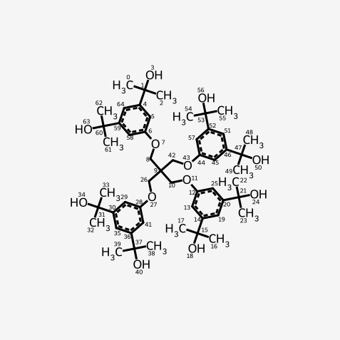 CC(C)(O)c1cc(OCC(COc2cc(C(C)(C)O)cc(C(C)(C)O)c2)(COc2cc(C(C)(C)O)cc(C(C)(C)O)c2)COc2cc(C(C)(C)O)cc(C(C)(C)O)c2)cc(C(C)(C)O)c1